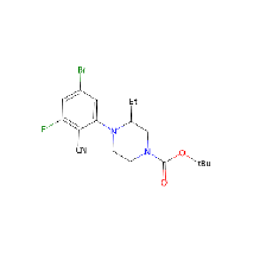 CCC1CN(C(=O)OC(C)(C)C)CCN1c1cc(Br)cc(F)c1C#N